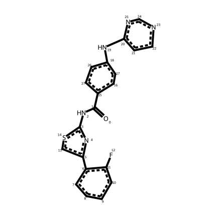 O=C(Nc1nc(-c2ccccc2F)cs1)c1ccc(Nc2ccncn2)cc1